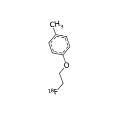 Cc1ccc(OCC[18F])cc1